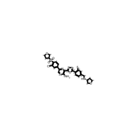 Nc1ncc(-c2ccc(S(=O)(=O)C3CCOC3)c(Cl)c2)nc1-c1nnc(-c2ccc(CN[C@@H]3CCOC3)cc2F)o1